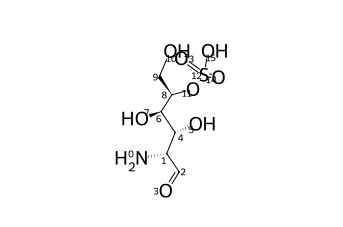 N[C@@H](C=O)[C@@H](O)[C@@H](O)[C@@H](CO)OS(=O)(=O)O